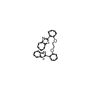 c1ccc(-c2nc3ccccc3s2)c(OCCOc2ccccc2-c2nc3ccccc3s2)c1